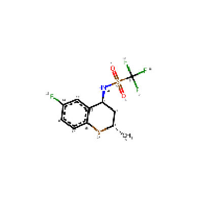 C[C@H]1C[C@H](NS(=O)(=O)C(F)(F)F)c2cc(F)ccc2S1